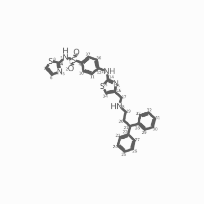 O=S(=O)(Nc1nccs1)c1ccc(Nc2nc(CNCCC(c3ccccc3)c3ccccc3)cs2)cc1